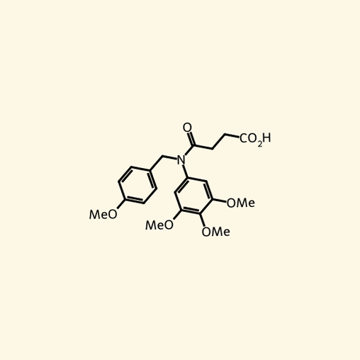 COc1ccc(CN(C(=O)CCC(=O)O)c2cc(OC)c(OC)c(OC)c2)cc1